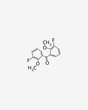 COc1c(F)cccc1C(=O)c1cccc(F)c1OC